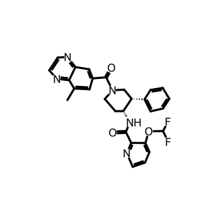 Cc1cc(C(=O)N2CC[C@@H](NC(=O)c3ncccc3OC(F)F)[C@@H](c3ccccc3)C2)cc2nccnc12